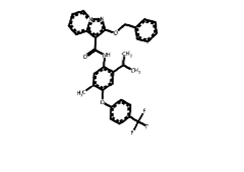 Cc1cc(NC(=O)c2c(OCc3ccccc3)nn3ccccc23)c(C(C)C)cc1Oc1ccc(C(F)(F)F)cc1